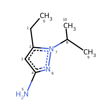 CCc1cc(N)nn1C(C)C